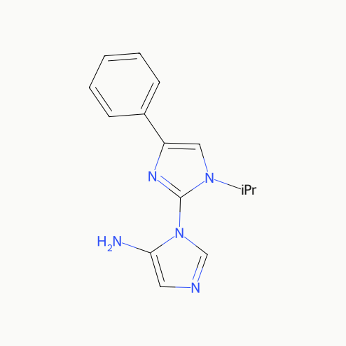 CC(C)n1cc(-c2ccccc2)nc1-n1cncc1N